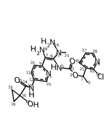 CC(OC(=O)N/C(=C(/N)c1ccc(NC(=O)C2(O)CC2)cn1)N(C)N)c1cccnc1Cl